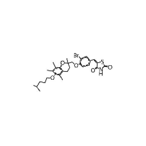 Cc1c(C)c2c(c(C)c1OCCCC(C)C)CCC(C)(COc1ccc(C=C3SC(=O)NC3=O)cc1Br)O2